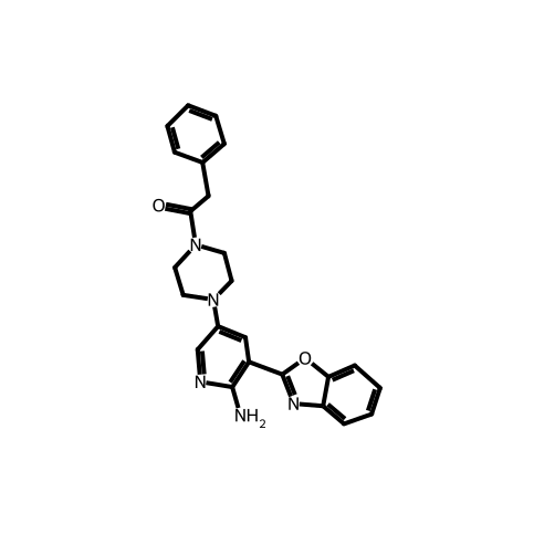 Nc1ncc(N2CCN(C(=O)Cc3ccccc3)CC2)cc1-c1nc2ccccc2o1